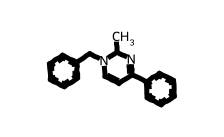 CC1N=C(c2ccccc2)C=CN1Cc1ccccc1